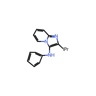 CC(C)c1nc2ccccn2c1Nc1ccccc1